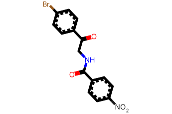 O=C(CNC(=O)c1ccc([N+](=O)[O-])cc1)c1ccc(Br)cc1